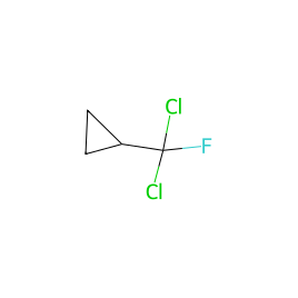 FC(Cl)(Cl)C1CC1